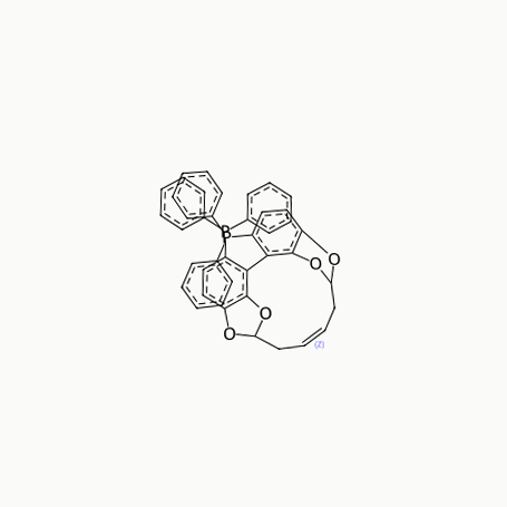 C1=C\CC2Oc3ccc(P(c4ccccc4)c4ccccc4)c(c3O2)-c2c(P(c3ccccc3)c3ccccc3)ccc3c2OC(C/1)O3